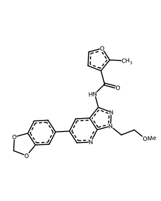 COCCn1nc(NC(=O)c2ccoc2C)c2cc(-c3ccc4c(c3)OCO4)cnc21